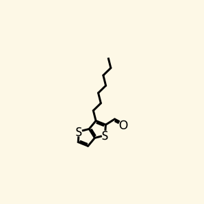 CCCCCCCc1c(C=O)sc2ccsc12